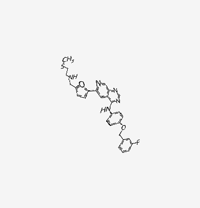 CSCCNCc1ccc(-c2cc3c(Nc4ccc(OCc5cccc(F)c5)cc4)ncnc3cn2)o1